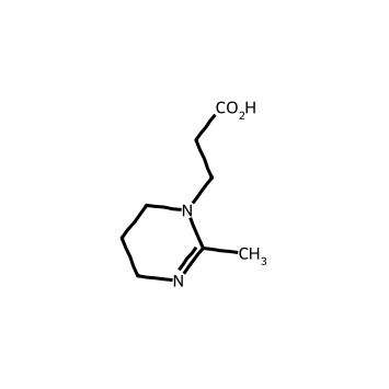 CC1=NCCCN1CCC(=O)O